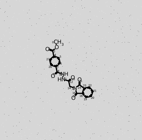 COC(=O)c1ccc(C(=O)NNC(=O)CN2C(=O)c3ccccc3C2=O)cc1